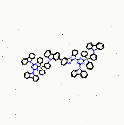 c1ccc([Si](c2ccccc2)(c2cccc(-n3c4ccccc4c4ccc(-c5ccc6nc7n(-c8nc(-n9c%10ccccc%10c%10ccccc%109)nc([Si](c9ccccc9)(c9ccccc9)c9cccc(-n%10c%11ccccc%11c%11ccccc%11%10)c9)n8)c8ccccc8n7c6c5)cc43)c2)c2nc(-n3c4ccccc4c4ccccc43)nc(-n3c4ccccc4c4ccccc43)n2)cc1